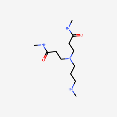 CNCCCN(CCC(=O)NC)CCC(=O)NC